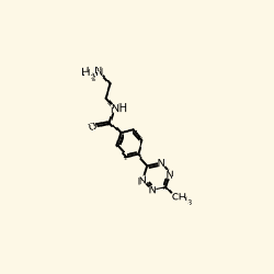 Cc1nnc(-c2ccc(C(=O)NCCN)cc2)nn1